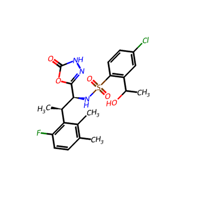 Cc1ccc(F)c([C@@H](C)[C@H](NS(=O)(=O)c2ccc(Cl)cc2C(C)O)c2n[nH]c(=O)o2)c1C